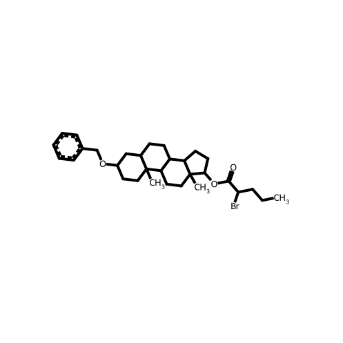 CCCC(Br)C(=O)OC1CCC2C3CCC4CC(OCc5ccccc5)CCC4(C)C3CCC12C